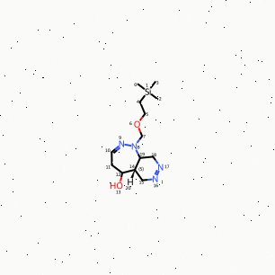 C[Si](C)(C)CCOCN1N=CCC(O)[C@H]2CN=NCC21